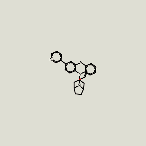 C=CCN1C2CCC1CC(N1c3ccccc3Sc3cc(-c4cccnc4)ccc31)C2